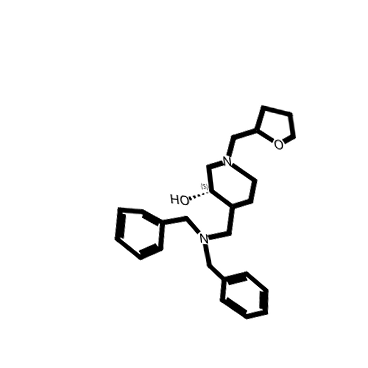 O[C@@H]1CN(CC2CCCO2)CCC1CN(Cc1ccccc1)Cc1ccccc1